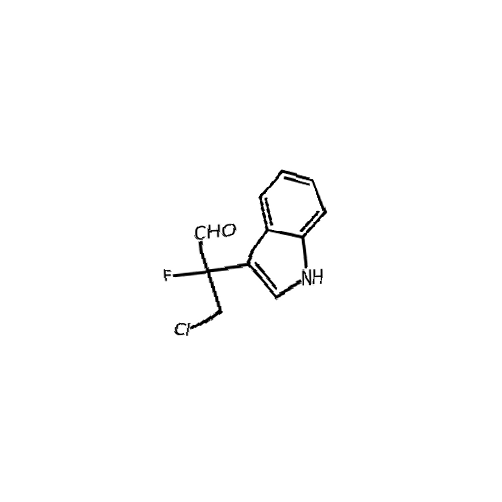 O=CC(F)(CCl)c1c[nH]c2ccccc12